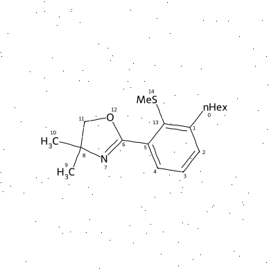 CCCCCCc1cccc(C2=NC(C)(C)CO2)c1SC